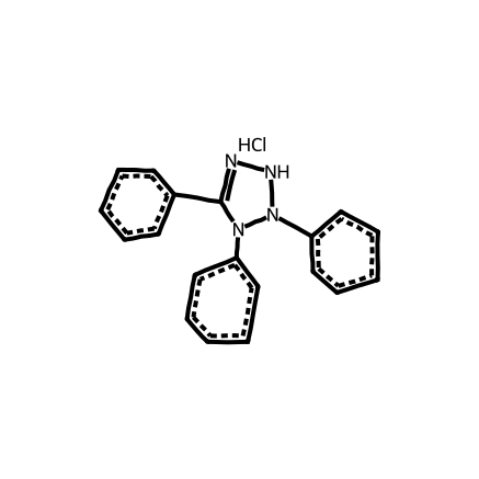 Cl.c1ccc(C2=NNN(c3ccccc3)N2c2ccccc2)cc1